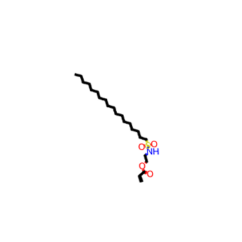 C=CC(=O)OCCNS(=O)(=O)CCCCCCCCCCCCCCCCCC